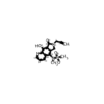 C#CCN1Cc2c(c(O)c3ncccc3c2N(C)S(C)(=O)=O)C1=O